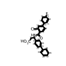 O=C(O)CC(NC(=O)c1ccc(-c2ccc(F)cc2)cc1Cl)c1ccc(-c2ccccc2)cc1